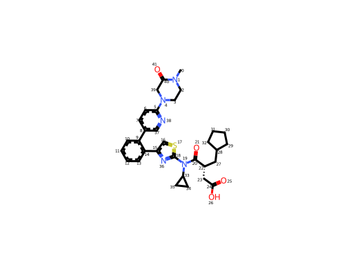 CN1CCN(c2ccc(-c3ccccc3-c3csc(N(C(=O)[C@@H](CC(=O)O)CC4CCCC4)C4CC4)n3)cn2)CC1=O